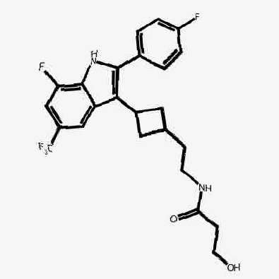 O=C(CCO)NCCC1CC(c2c(-c3ccc(F)cc3)[nH]c3c(F)cc(C(F)(F)F)cc23)C1